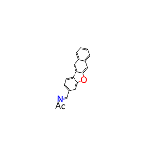 CC(=O)/N=C/c1ccc2c(c1)oc1cc3ccccc3cc12